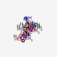 CC[C@H](C)[C@@H]([C@@H](CC(=O)N1CCC[C@H]1[C@H](OC)[C@@H](C)C(=O)N[C@H](C)[C@@H](O)c1ccccc1)OC)N(C)C(=O)[C@@H](NC(=O)[C@H](C(C)C)N(C)C(=O)OCC(C)(C)SSc1ncc[nH]1)C(C)C